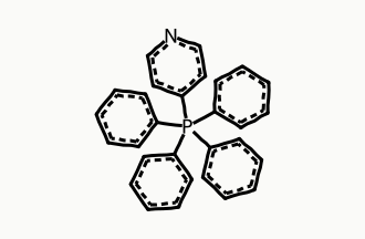 c1ccc(P(c2ccccc2)(c2ccccc2)(c2ccccc2)c2ccncc2)cc1